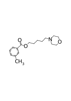 Cc1cccc(C(=O)OCCCCCN2CCOCC2)c1